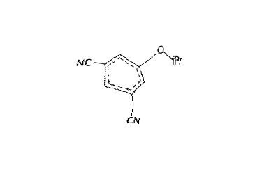 CC(C)Oc1cc(C#N)cc(C#N)c1